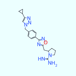 N=C(N)N1CCCC1Cc1nc(-c2ccc(Cn3cc(C4CC4)nn3)cc2)no1